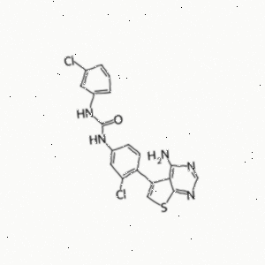 Nc1ncnc2scc(-c3ccc(NC(=O)Nc4cccc(Cl)c4)cc3Cl)c12